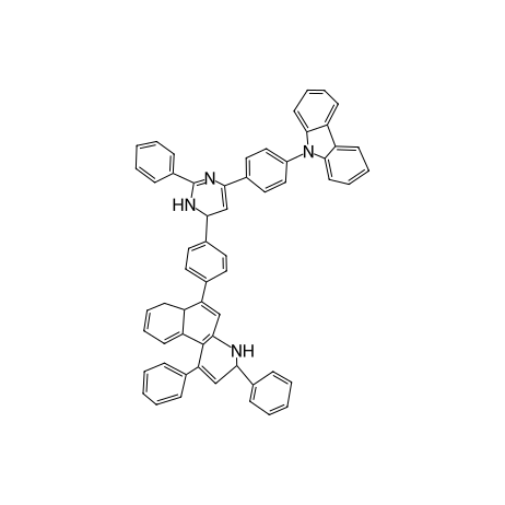 C1=CCC2C(=C1)C1=C(C=C2c2ccc(C3C=C(c4ccc(-n5c6ccccc6c6ccccc65)cc4)N=C(c4ccccc4)N3)cc2)NC(c2ccccc2)C=C1c1ccccc1